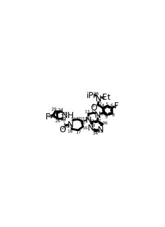 CCN(C(=O)c1cc(F)ccc1N1CCN([C@H]2CCCN(C(=O)[C@H]3NC4CC3[C@H](F)C4)CC2)c2ncncc21)C(C)C